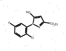 CCOC(=O)c1cc(O)n(-c2cc(F)ccc2Cl)n1